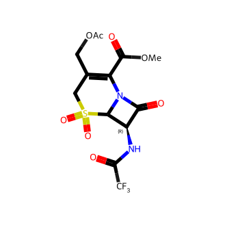 COC(=O)C1=C(COC(C)=O)CS(=O)(=O)C2[C@H](NC(=O)C(F)(F)F)C(=O)N12